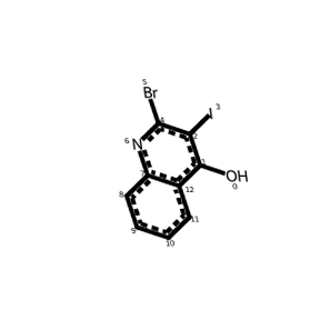 Oc1c(I)c(Br)nc2ccccc12